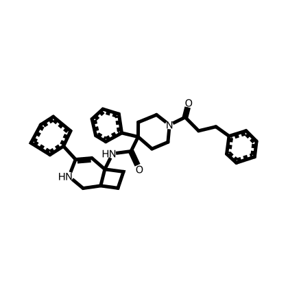 O=C(CCc1ccccc1)N1CCC(C(=O)NC23C=C(c4ccccc4)NCC2CC3)(c2ccccc2)CC1